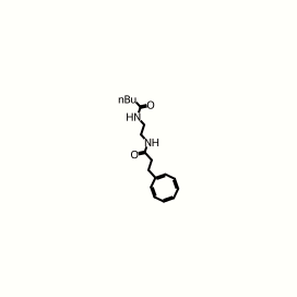 CCCCC(=O)NCCNC(=O)CCC1=C/C=C\C=C/C=C\1